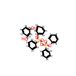 O=P(Oc1ccccc1)(OP(=O)(Oc1ccccc1)c1ccccc1)c1ccccc1.Oc1cccc(O)c1